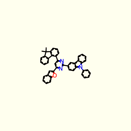 CC1(C)c2ccccc2-c2c(-c3cc(-c4cc5ccccc5o4)nc(-c4ccc5c(c4)c4ccccc4n5-c4ccccc4)n3)cccc21